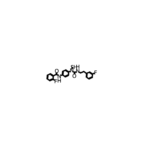 O=C(Nc1ccc(N(S)C(=O)NCCc2cccc(F)c2)cc1)c1ccccc1F